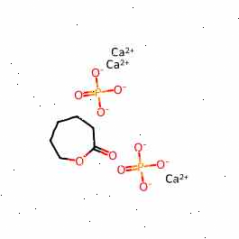 O=C1CCCCCO1.O=P([O-])([O-])[O-].O=P([O-])([O-])[O-].[Ca+2].[Ca+2].[Ca+2]